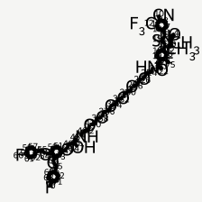 CC1(C)C(=O)N(c2ccc(C#N)c(C(F)(F)F)c2)C(=S)N1c1ccc(C(=O)NCCOCCOCCOCCOCCOCCOCCNCC(O)COc2ccc(OCc3ccc(F)cc3)c(OCc3ccc(F)cc3)c2)c(F)c1